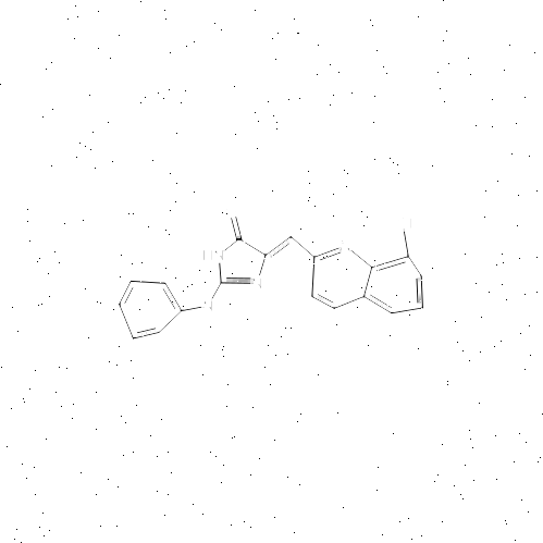 O=C1NC(Nc2ccccc2)=N/C1=C\c1ccc2cccc(O)c2n1